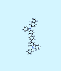 C1=Cc2c(c3cc(-c4ccc(-c5ccc6c(c5)c5ccccc5n6-c5ccccc5)cc4)ccc3n2-c2ccc3ccccc3c2)CC1